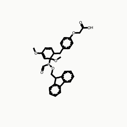 COC1=CC(OC)(N(C=O)OCC2c3ccccc3-c3ccccc32)C(Cc2ccc(OCC(=O)O)cc2)C=C1